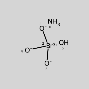 N.[O-][Br+3]([O-])([O-])O